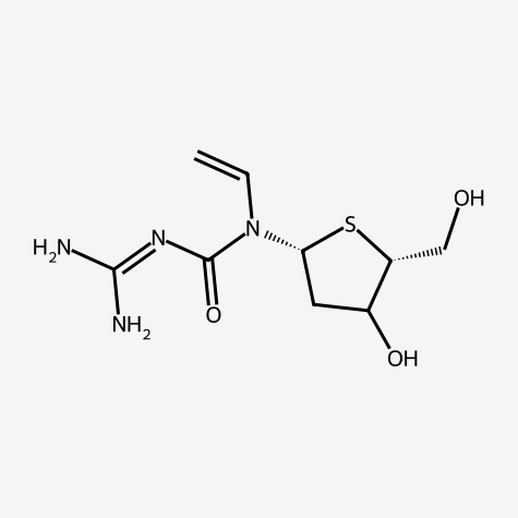 C=CN(C(=O)N=C(N)N)[C@H]1CC(O)[C@@H](CO)S1